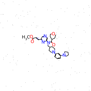 COC(=O)/C=C/c1cncc(N(CC2CCN(c3cccc(N4CCCC4)c3)CC2)C(=O)C2CCOCC2)n1